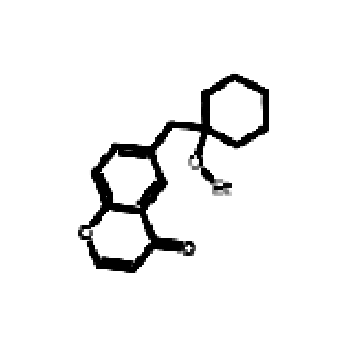 CCOC1(Cc2ccc3occc(=O)c3c2)CCCCC1